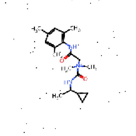 Cc1cc(C)c(NC(=O)C[N+](C)(C)C(=O)NC(C)C2CC2)c(C)c1